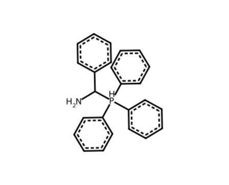 NC(c1ccccc1)[PH](c1ccccc1)(c1ccccc1)c1ccccc1